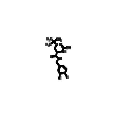 CC(C)(C)OCC(NC(=O)O)C(=O)NCc1ccc(Cl)c(Cl)c1